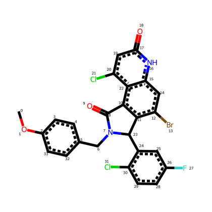 COc1ccc(CN2C(=O)c3c(c(Br)cc4[nH]c(=O)cc(Cl)c34)C2c2cc(F)ccc2Cl)cc1